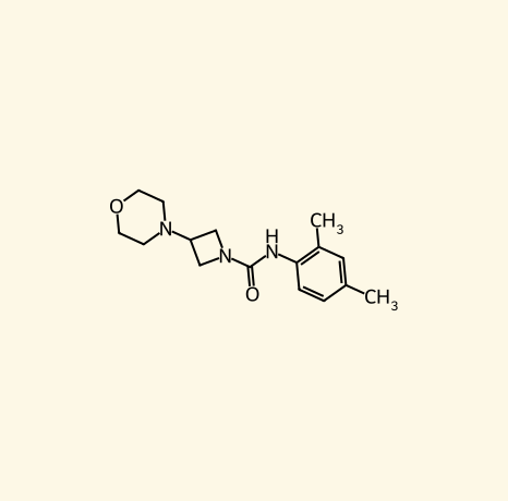 Cc1ccc(NC(=O)N2CC(N3CCOCC3)C2)c(C)c1